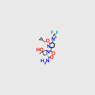 C[C@]1(O)C[C@@H](C(N)=O)N(C(=O)c2ccc(N3CC(F)(F)C3)c(OCC3CC3)n2)C1